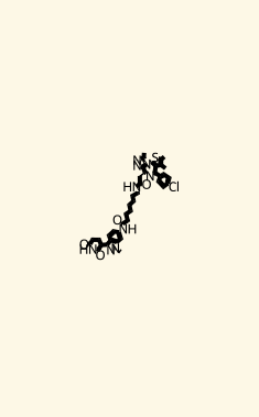 Cc1sc2c(c1C)C(c1ccc(Cl)cc1)=N[C@@H](CC(=O)NCCCCCCCC(=O)Nc1ccc3c(C4CCC(=O)NC4=O)nn(C)c3c1)c1nnc(C)n1-2